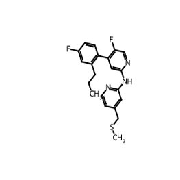 CCCc1cc(F)ccc1-c1cc(Nc2cc(CSC)ccn2)ncc1F